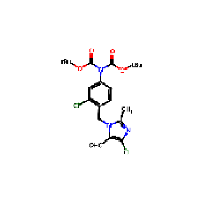 Cc1nc(Cl)c(C=O)n1Cc1ccc(N(C(=O)OC(C)(C)C)C(=O)OC(C)(C)C)cc1Cl